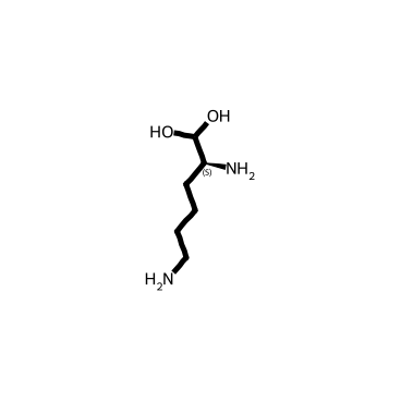 NCCCC[C@H](N)C(O)O